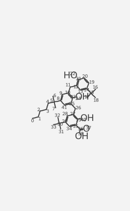 CCCCCC(C)(C)c1cc(Cc2cc(C(C)(C)C)ccc2O)c(O)c(Cc2cc(C(C)(C)C)cc(C(=O)O)c2O)c1